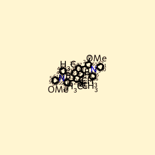 COc1cc2c3c(c1)N(c1ccccc1)c1ccccc1B3c1cc3c([Si](C)(C)C)cc4c5c(cc6c(C)cc-2c1c6c35)B1c2ccccc2N(c2ccccc2)c2cc(OC)cc-4c21